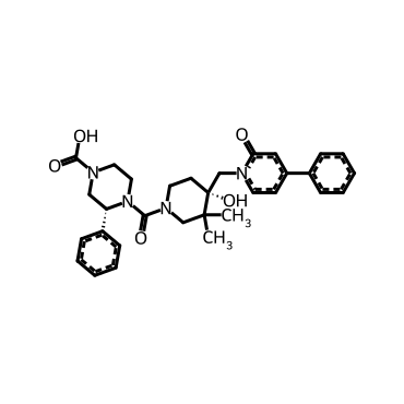 CC1(C)CN(C(=O)N2CCN(C(=O)O)C[C@H]2c2ccccc2)CC[C@@]1(O)Cn1ccc(-c2ccccc2)cc1=O